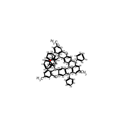 Cc1cc2c3c(c1)Oc1c(sc4ccccc14)B3c1cc3c(cc1O2)N(c1ccccc1)c1cc(C)cc2c1B3c1cc3c(cc1N2c1ccccc1)Oc1cc(C)cc2c1B3c1sc3ccccc3c1O2